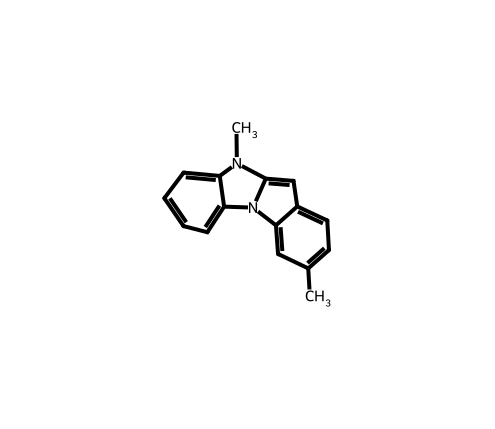 Cc1ccc2cc3n(C)c4ccccc4n3c2c1